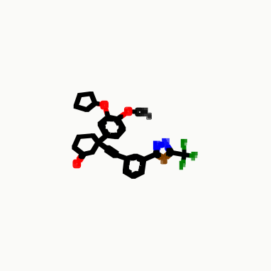 COc1ccc(C2(C#Cc3cccc(-c4nnc(C(F)(F)F)s4)c3)CCCC(=O)C2)cc1OC1CCCC1